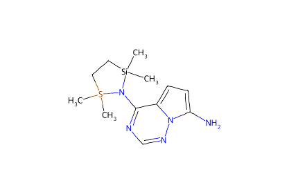 C[Si]1(C)CCS(C)(C)N1c1ncnn2c(N)ccc12